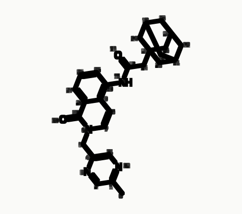 Cc1cnc(Cn2ccc3c(NC(=O)CC45CC6CC(CC(C6)C4)C5)cccc3c2=O)cn1